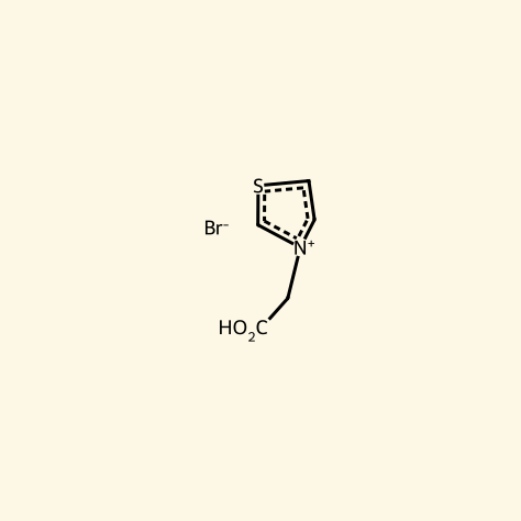 O=C(O)C[n+]1ccsc1.[Br-]